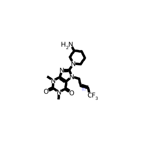 Cn1c(=O)c2c(nc(N3CCCC(N)C3)n2C/C=C/C(F)(F)F)n(C)c1=O